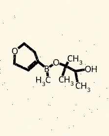 CB(OC(C)(C)C(C)O)C1=CCOCC1